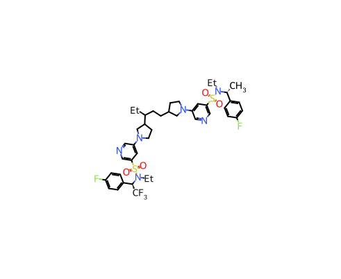 CCC(CCC1CCN(c2cncc(S(=O)(=O)N(CC)[C@H](C)c3ccc(F)cc3)c2)C1)C1CCN(c2cncc(S(=O)(=O)N(CC)[C@H](c3ccc(F)cc3)C(F)(F)F)c2)C1